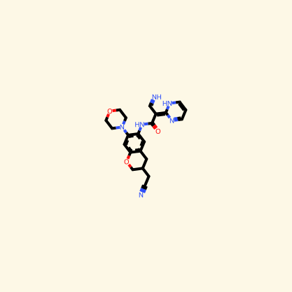 N#CCC1COc2cc(N3CCOCC3)c(NC(=O)/C(C=N)=C3\N=CC=CN3)cc2C1